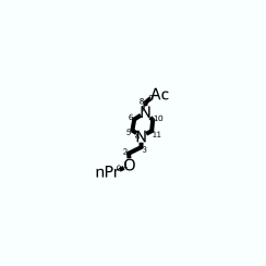 CCCOCCN1CCN(CC(C)=O)CC1